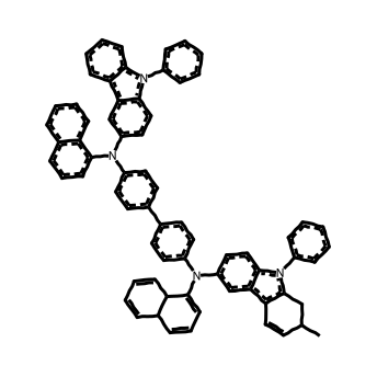 CC1C=Cc2c(n(-c3ccccc3)c3ccc(N(C4=CC=CC5C=CC=CC45)c4ccc(-c5ccc(N(c6ccc7c(c6)c6ccccc6n7-c6ccccc6)c6cccc7ccccc67)cc5)cc4)cc23)C1